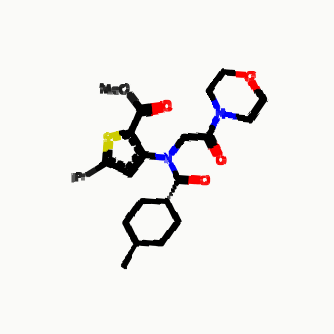 COC(=O)c1sc(C(C)C)cc1N(CC(=O)N1CCOCC1)C(=O)[C@H]1CC[C@H](C)CC1